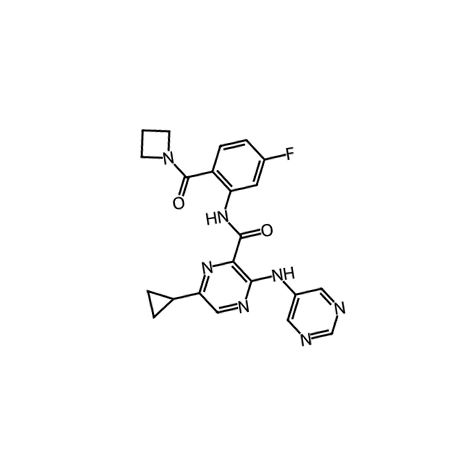 O=C(Nc1cc(F)ccc1C(=O)N1CCC1)c1nc(C2CC2)cnc1Nc1cncnc1